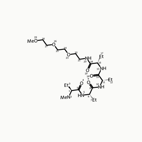 CC[C@H](NC)C(=O)N[C@@H](CC)C(=O)N[C@@H](CC)C(=O)N[C@@H](CC)C(=O)NCCOCCOCCOC